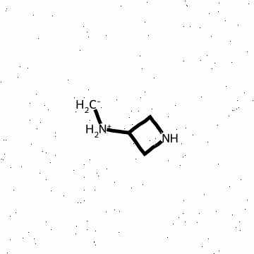 [CH2-][NH2+]C1CNC1